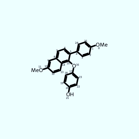 COc1ccc(-c2ccc3cc(OC)ccc3c2Oc2ccc(O)cc2)cc1